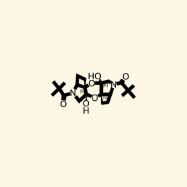 CC(C)(C)C(=O)N1C[C@@]2(O)O[C@@]34CCC3N(C(=O)C(C)(C)C)C[C@]4(O)O[C@]23CCC13